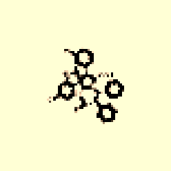 CC(C)CC[C@H]1N([C@H](c2ccccc2)[C@@H](O)c2ccccc2)[C@@H](C(=O)O)[C@H](c2cccc(Cl)c2)[C@@]12C(=O)Nc1cc(Cl)ccc12